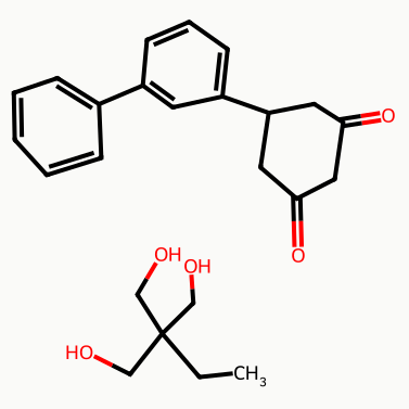 CCC(CO)(CO)CO.O=C1CC(=O)CC(c2cccc(-c3ccccc3)c2)C1